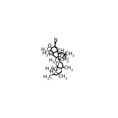 CCCC(C)(C)C[C@@H](C(=O)OC)C(C)CCC(C)(C)[C@]1(C)CC[C@H]2C(C)(C)C(=O)C(C#N)=C[C@]2(C)/C1=C/C(C)=O